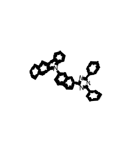 c1ccc(-c2nc(-c3ccccc3)nc(-c3ccc4ccc(-n5c6ccccc6c6cc7ccccc7cc65)cc4c3)n2)cc1